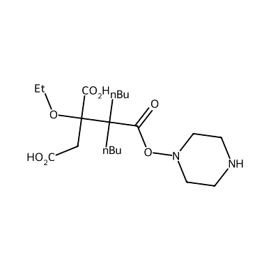 CCCCC(CCCC)(C(=O)ON1CCNCC1)C(CC(=O)O)(OCC)C(=O)O